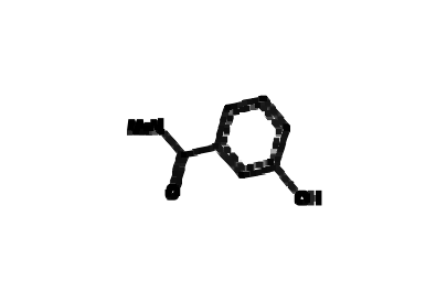 CNC(=O)c1cccc(O)c1